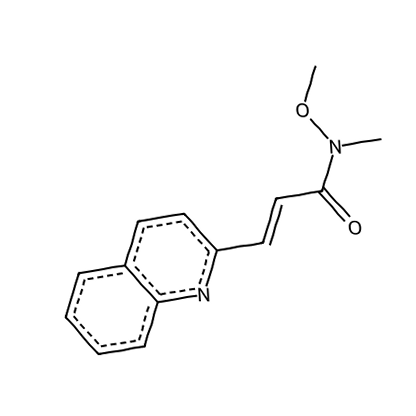 CON(C)C(=O)/C=C/c1ccc2ccccc2n1